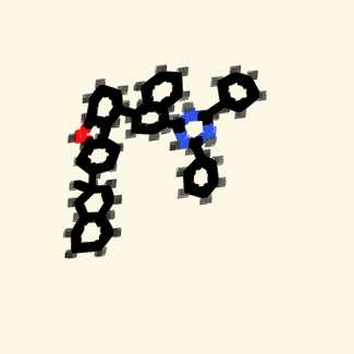 CC1(c2ccc3c(c2)oc2cccc(-c4ccc(-c5nc(-c6ccccc6)nc(-c6ccccc6)n5)c5ccccc45)c23)C=Cc2ccccc2C1